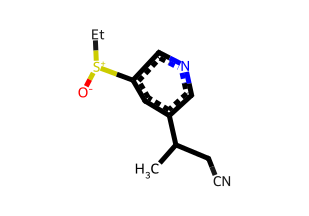 CC[S+]([O-])c1cncc(C(C)CC#N)c1